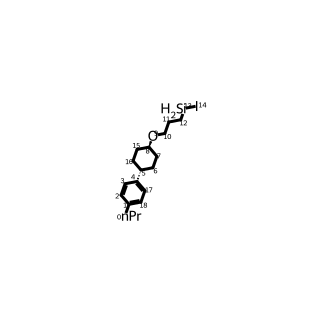 CCCc1ccc([C@H]2CC[C@H](OCCC[SiH2]I)CC2)cc1